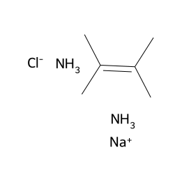 CC(C)=C(C)C.N.N.[Cl-].[Na+]